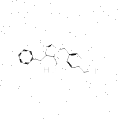 C/C=C(\C=C/CCO)CN1C=NC(Cc2ccccc2)C1CO